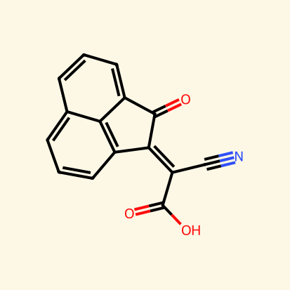 N#C/C(C(=O)O)=c1\c(=O)c2cccc3cccc1c32